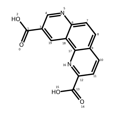 O=C(O)c1cnc2ccc3ccc(C(=O)O)nc3c2c1